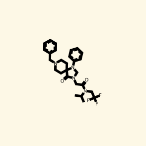 CC(C)N(CC(F)(F)F)C(=O)CN1CN(c2ccccc2)C2(CCN(Cc3ccccc3)CC2)C1=O